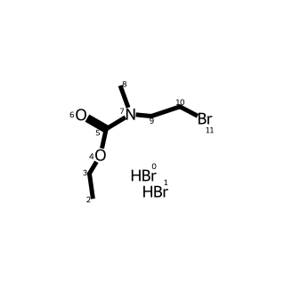 Br.Br.CCOC(=O)N(C)CCBr